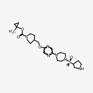 CC1(OC(=O)N2CCC(COc3cnc(N4CCN(S(=O)(=O)C5CCNC5)CC4)cn3)CC2)CC1